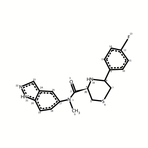 CN(C(=O)[C@@H]1[CH]SCC(c2ccc(F)cc2)N1)c1ccc2[nH]ncc2c1